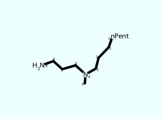 CCCCCCCCN(C)CCCN